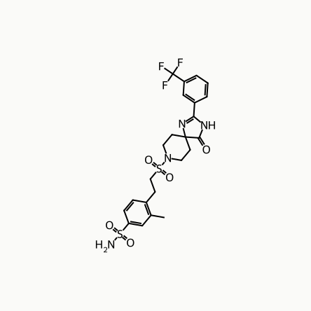 Cc1cc(S(N)(=O)=O)ccc1CCS(=O)(=O)N1CCC2(CC1)N=C(c1cccc(C(F)(F)F)c1)NC2=O